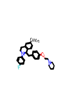 COc1ccc2c(c1)CCN(c1ccc(F)cc1)C2Cc1ccc(OCCN2CCCCC2)cc1